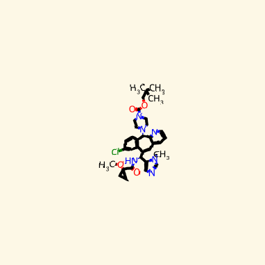 COC1(C(=O)N[C@H](C2=Cc3cccnc3[C@@H](N3CCN(C(=O)OCC(C)(C)C)CC3)c3ccc(Cl)cc32)c2cncn2C)CC1